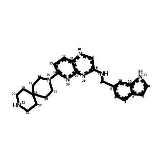 c1cc2ccc(CNc3cnc4ccc(N5CCC6(CCNCC6)CC5)nc4n3)cc2[nH]1